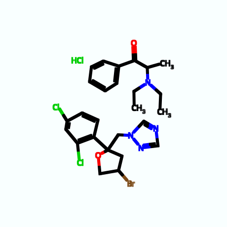 CCN(CC)C(C)C(=O)c1ccccc1.Cl.Clc1ccc(C2(Cn3cncn3)CC(Br)CO2)c(Cl)c1